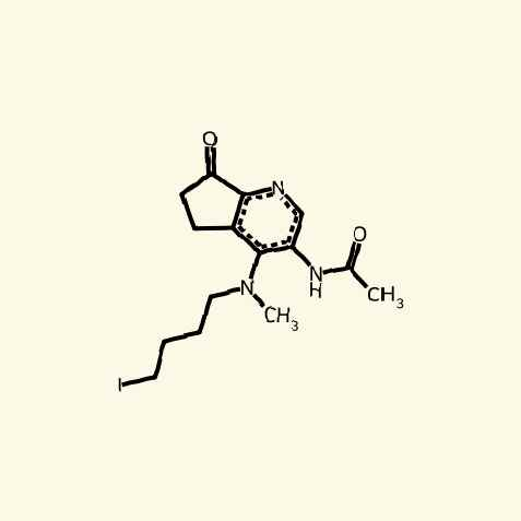 CC(=O)Nc1cnc2c(c1N(C)CCCCI)CCC2=O